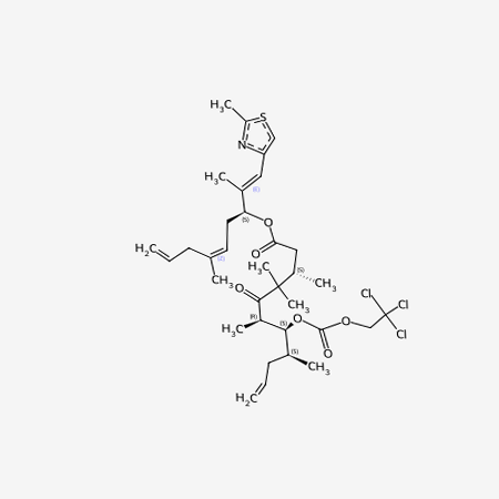 C=CC/C(C)=C\C[C@H](OC(=O)C[C@H](C)C(C)(C)C(=O)[C@H](C)[C@@H](OC(=O)OCC(Cl)(Cl)Cl)[C@@H](C)CC=C)/C(C)=C/c1csc(C)n1